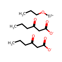 CCCC(=O)CC(=O)[O-].CCCC(=O)CC(=O)[O-].CCC[O][Ti+2]